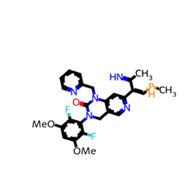 COc1cc(OC)c(F)c(N2Cc3cnc(/C(=C/PC)C(C)=N)cc3N(Cc3ccccn3)C2=O)c1F